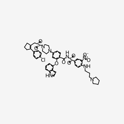 O=C(NS(=O)(=O)c1ccc(NCCCN2CCCC2)c([N+](=O)[O-])c1)c1ccc(N2CCN(S(=O)(=O)CC3=C(c4ccc(Cl)cc4)CCC3)CC2)cc1Oc1cccc2[nH]ccc12